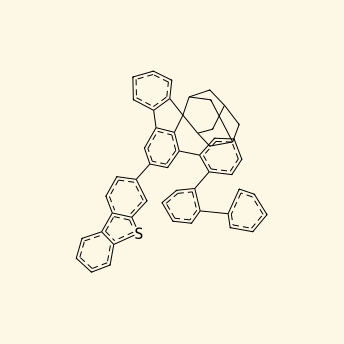 c1ccc(-c2ccccc2-c2ccccc2-c2cc(-c3ccc4c(c3)sc3ccccc34)cc3c2C2(c4ccccc4-3)C3CC4CC(C3)CC2C4)cc1